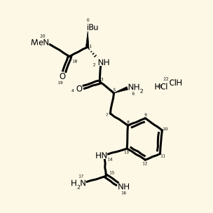 CC[C@H](C)[C@H](NC(=O)[C@@H](N)Cc1ccccc1NC(=N)N)C(=O)NC.Cl.Cl